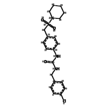 O=C(NCc1ccc(Cl)cc1)Nc1ccc(CS(=O)(=O)N2CCCCC2)cc1